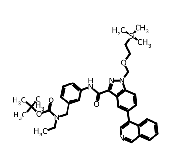 CCN(Cc1cccc(NC(=O)c2nn(COCC[Si](C)(C)C)c3ccc(-c4cncc5ccccc45)cc23)c1)C(=O)OC(C)(C)C